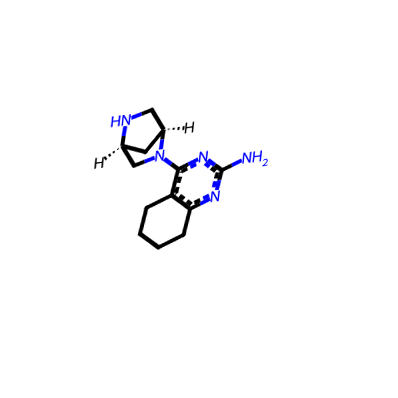 Nc1nc2c(c(N3C[C@@H]4C[C@H]3CN4)n1)CCCC2